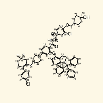 C[C@]1(O)CC[C@@H](COc2ncc(S(=O)(=O)NC(=O)c3ccc(N4CCN(CC5=C(c6ccc(Cl)cc6)CCC(F)(F)C5)CC4)cc3Oc3cccc4c3cnn4C(c3ccccc3)(c3ccccc3)c3ccccc3)cc2Cl)CC1